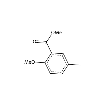 COC(=O)c1cc(C)ccc1OC